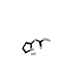 COC(=O)OC1CCCN1.Cl